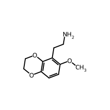 COc1ccc2c(c1CCN)OCCO2